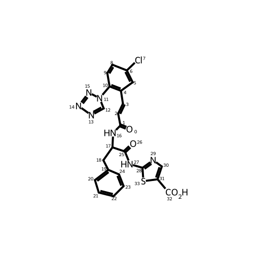 O=C(C=Cc1cc(Cl)ccc1-n1cnnn1)NC(Cc1ccccc1)C(=O)Nc1ncc(C(=O)O)s1